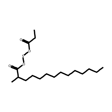 CCCCCCCCCCCCC(C)C(=O)OSOC(=O)CC